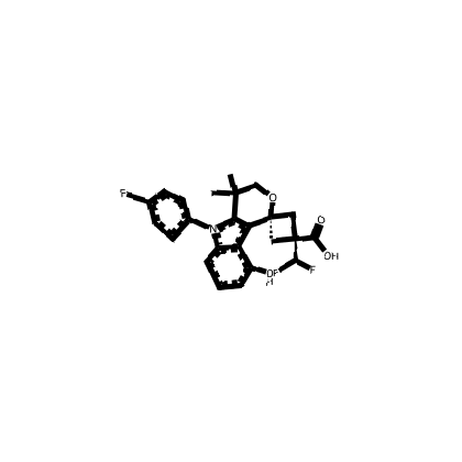 CC1(C)CO[C@]2(C[C@](C(=O)O)(C(F)F)C2)c2c1n(-c1ccc(F)cc1)c1cccc(O)c12